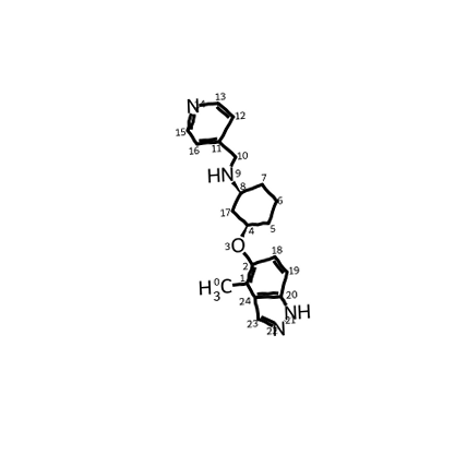 Cc1c(O[C@@H]2CCC[C@H](NCc3ccncc3)C2)ccc2[nH]ncc12